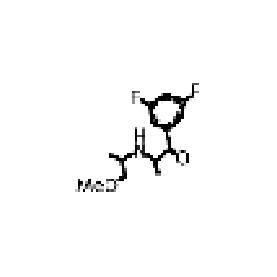 COCC(C)NC(C)C(=O)c1cc(F)cc(F)c1